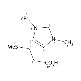 CCCN1C=CN(C)C1.CSCCC(=O)O